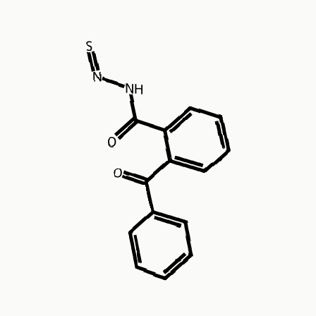 O=C(NN=S)c1ccccc1C(=O)c1ccccc1